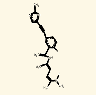 C=C(N/C(C)=C/C=C(/C)N(C)F)c1cc(C#Cc2csc(C)n2)ccc1F